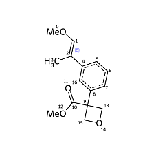 CO/C=C(\C)c1cccc(C2(C(=O)OC)COC2)c1